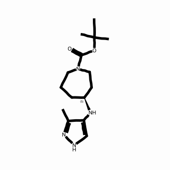 Cc1n[nH]cc1N[C@H]1CCCN(C(=O)OC(C)(C)C)CC1